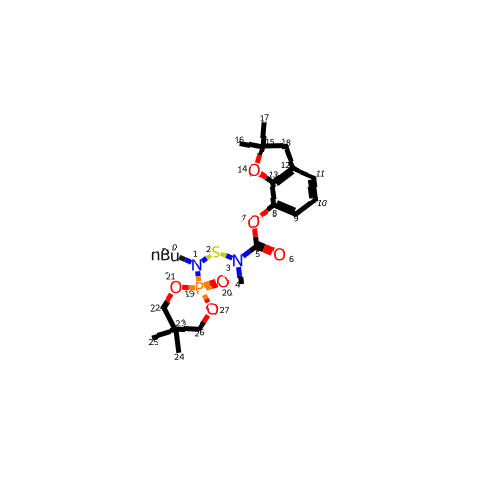 CCCCN(SN(C)C(=O)Oc1cccc2c1OC(C)(C)C2)P1(=O)OCC(C)(C)CO1